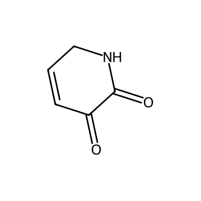 O=C1C=CCNC1=O